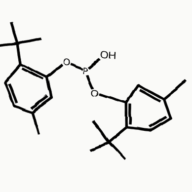 Cc1ccc(C(C)(C)C)c(OP(O)Oc2cc(C)ccc2C(C)(C)C)c1